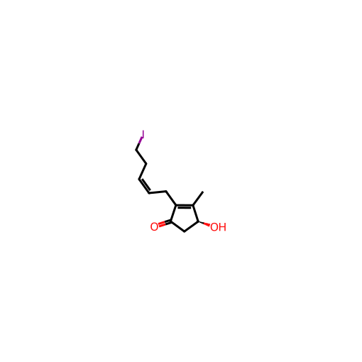 CC1=C(C/C=C\CCI)C(=O)C[C@@H]1O